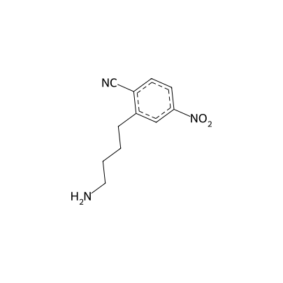 N#Cc1ccc([N+](=O)[O-])cc1CCCCN